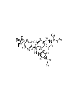 C=CC(=O)N1CCc2c(ccc(Nc3ccc(C(F)(F)F)cc3)c2-c2cn(CC)cn2)C1